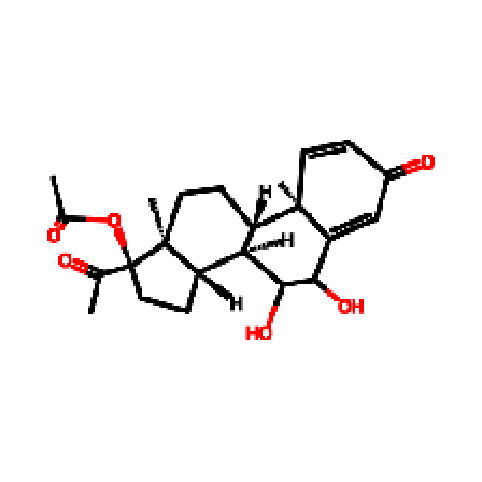 CC(=O)O[C@]1(C(C)=O)CC[C@H]2[C@@H]3C(O)C(O)C4=CC(=O)C=C[C@]4(C)[C@H]3CC[C@@]21C